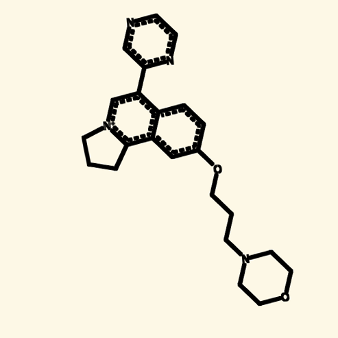 c1cnc(-c2c[n+]3c(c4cc(OCCCN5CCOCC5)ccc24)CCC3)cn1